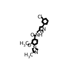 COc1cc(C(=O)NCc2cc(-c3cccc(Cl)c3)no2)ccc1-n1cnc(C)c1